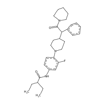 CCC(CC)C(=O)Nc1ccc(N2CCC(C(C(=O)N3CCCCC3)c3ccccc3)CC2)c(F)c1